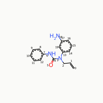 C=CCN(C(=O)Nc1ccccc1)c1cccc(N)c1